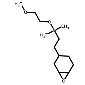 COCCO[Si](C)(C)CCC1CCC2OC2C1